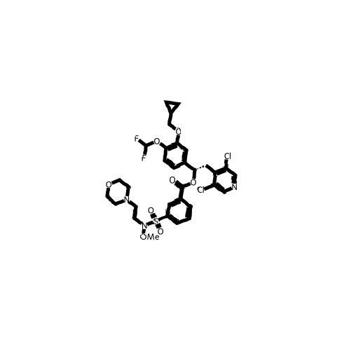 CON(CCN1CCOCC1)S(=O)(=O)c1cccc(C(=O)O[C@@H](Cc2c(Cl)cncc2Cl)c2ccc(OC(F)F)c(OCC3CC3)c2)c1